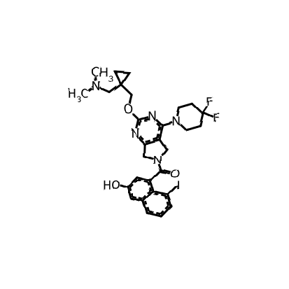 CN(C)CC1(COc2nc3c(c(N4CCC(F)(F)CC4)n2)CN(C(=O)c2cc(O)cc4cccc(I)c24)C3)CC1